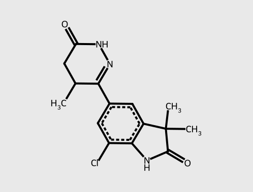 CC1CC(=O)NN=C1c1cc(Cl)c2c(c1)C(C)(C)C(=O)N2